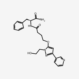 NC(=O)[C@H](Cc1ccccc1)NC(=O)CCCOc1cc(-c2cccnc2)nn1CCO